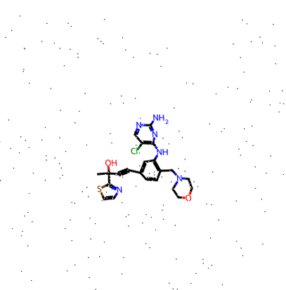 CC(O)(C#Cc1ccc(CN2CCOCC2)c(Nc2nc(N)ncc2Cl)c1)c1nccs1